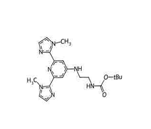 Cn1ccnc1-c1cc(NCCNC(=O)OC(C)(C)C)cc(-c2nccn2C)n1